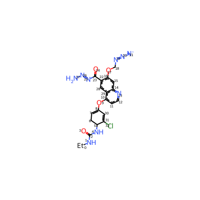 CCNC(=O)NC1CC=C(Oc2ccnc3cc(OCN=[N+]=[N-])c(C(=O)N=NN)cc23)C=C1Cl